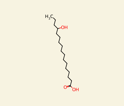 CCCC(O)CCCCCCCCCCCCC(=O)O